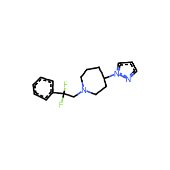 FC(F)(CN1CCCC(n2cccn2)CC1)c1ccccc1